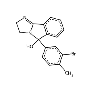 Cc1ccc(C2(O)c3ccccc3C3=NCCN32)cc1Br